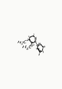 Cc1ccnc(-c2ccccn2)c1C